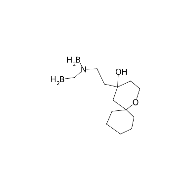 BCN(B)CCC1(O)CCOC2(CCCCC2)C1